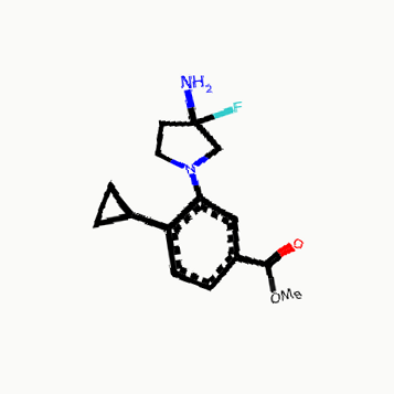 COC(=O)c1ccc(C2CC2)c(N2CCC(N)(F)C2)c1